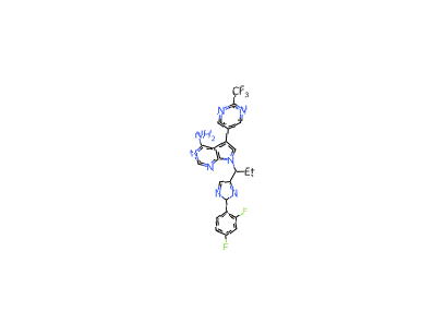 CCC(C1=NC(c2ccc(F)cc2F)N=C1)n1cc(-c2cnc(C(F)(F)F)nc2)c2c(N)ncnc21